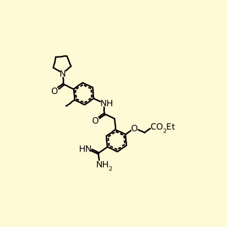 CCOC(=O)COc1ccc(C(=N)N)cc1CC(=O)Nc1ccc(C(=O)N2CCCC2)c(C)c1